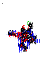 CC(=O)O.CC(=O)O.CCNC(=O)[C@@H]1CCCN1C(=O)[C@H](CCCNC(=N)N)NC(=O)[C@H](CC(C)C)NC(=O)[C@@H](Cc1cn(Cc2ccccc2)cn1)NC(=O)[C@H](Cc1ccc(O)cc1)NC(=O)[C@H](CO)NC(=O)[C@H](Cc1c[nH]c2ccccc12)NC(=O)[C@H](Cc1c[nH]cn1)NC(=O)[C@@H]1CCC(=O)N1.NC(=O)NO.[Cl-].[H+]